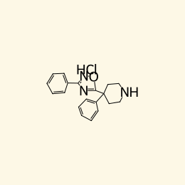 Cl.c1ccc(-c2noc(C3(c4ccccc4)CCNCC3)n2)cc1